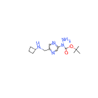 CC(C)(C)OC(=O)N(N)c1cnc(CNC2CCC2)cn1